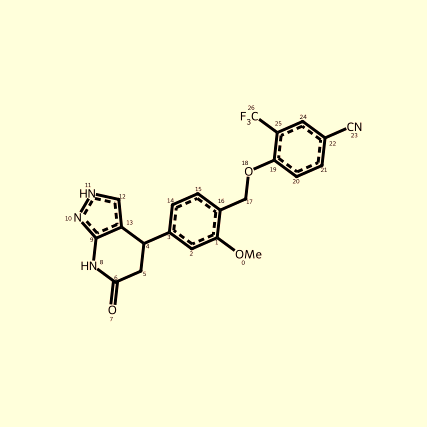 COc1cc(C2CC(=O)Nc3n[nH]cc32)ccc1COc1ccc(C#N)cc1C(F)(F)F